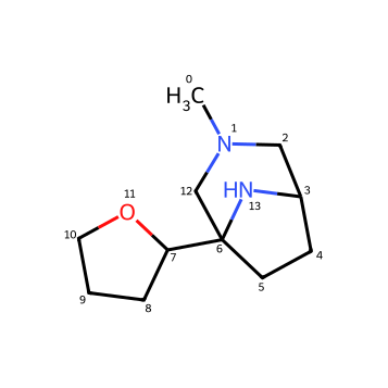 CN1CC2CCC(C3CCCO3)(C1)N2